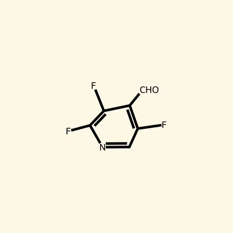 O=Cc1c(F)cnc(F)c1F